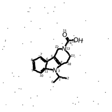 CC(C)n1c2c(c3ccccc31)CN(C(=O)O)CC2